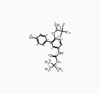 CC(Oc1ncc(NC(=O)OC(C)(C)C)cc1-c1ccc(Cl)cc1)C(F)(F)F